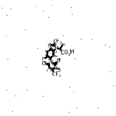 CC(C(=O)O)n1c(C(F)(F)F)nc2cc(F)c(-n3c(=O)cc(C(F)(F)F)n(C)c3=O)cc21